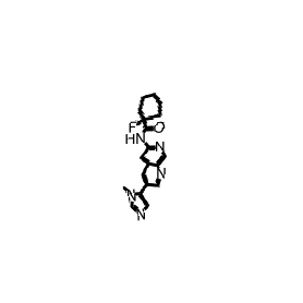 Cn1cncc1-c1cnc2cnc(NC(=O)C3(F)CCCCC3)cc2c1